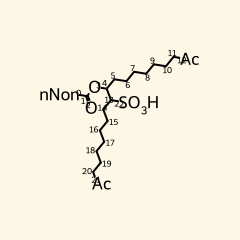 CCCCCCCCCC(=O)OC(CCCCCCCC(C)=O)C(CCCCCCCC(C)=O)S(=O)(=O)O